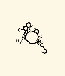 CO[C@H]1/C=C/CCCS(=O)(NC(=O)CCc2ccco2)=NC(=O)c2ccc3c(c2)N(C[C@@H]2CC[C@H]21)C[C@@]1(CCCc2cc(Cl)ccc21)CO3